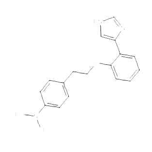 CN(C)c1ccc(CCOc2ccccc2-c2c[nH]cn2)cc1